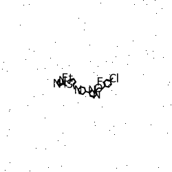 CCn1cncc1C[SH]1C=CC=C1CN1CCC(c2ccnc(OCc3ccc(Cl)cc3F)n2)CC1